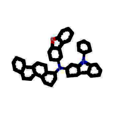 c1ccc(-n2c3ccccc3c3ccc(N(c4ccc5oc6ccccc6c5c4)c4cccc5c4ccc4c6ccccc6ccc54)cc32)cc1